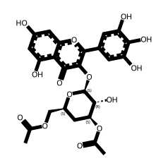 CC(=O)OC[C@@H]1C[C@H](OC(C)=O)[C@@H](O)[C@H](Oc2c(-c3cc(O)c(O)c(O)c3)oc3cc(O)cc(O)c3c2=O)O1